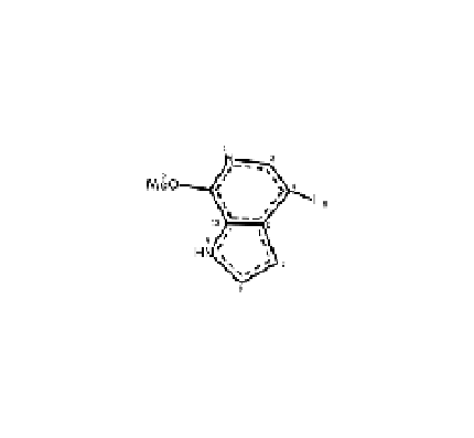 COc1ncc(I)c2cc[nH]c12